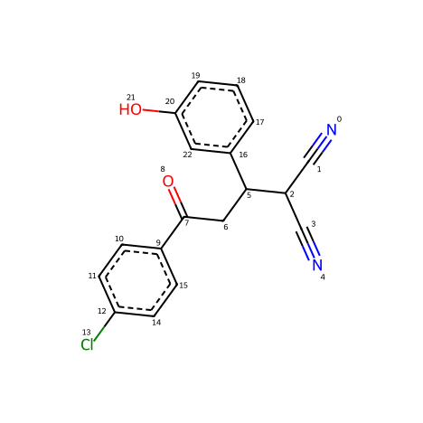 N#CC(C#N)C(CC(=O)c1ccc(Cl)cc1)c1cccc(O)c1